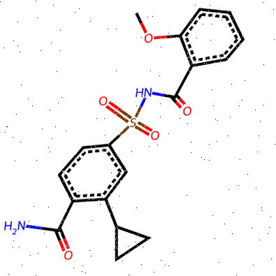 COc1ccccc1C(=O)NS(=O)(=O)c1ccc(C(N)=O)c(C2CC2)c1